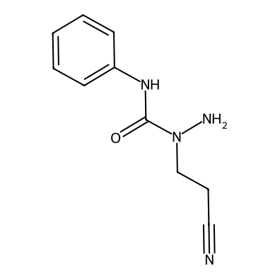 N#CCCN(N)C(=O)Nc1ccccc1